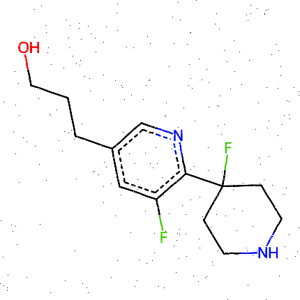 OCCCc1cnc(C2(F)CCNCC2)c(F)c1